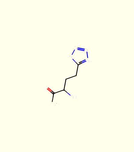 COC(=O)C(N)CCc1nnn[nH]1